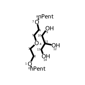 CCCCCOCCOCCOCCCCC.OCC(O)CO